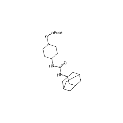 CCCCCOC1CCC(NC(=O)NC23CC4CC(CC(C4)C2)C3)CC1